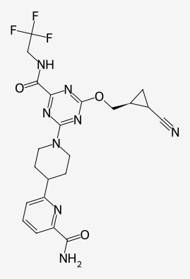 N#CC1C[C@@H]1COc1nc(C(=O)NCC(F)(F)F)nc(N2CCC(c3cccc(C(N)=O)n3)CC2)n1